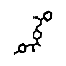 CN(C(=O)Cc1ccc(F)cc1)C1CCN(CCC(O)c2ccccc2)CC1